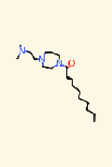 CCCCCCCC=CC(=O)N1CCCN(CCN(C)C)CC1